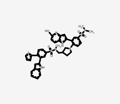 CN(C)S(=O)(=O)c1ccc(N2CCC(CN(C)S(=O)(=O)c3ccc(-c4cccs4)c(-c4cc5ccccc5[nH]4)c3)C2)c(-c2cc3nc(O)ccc3[nH]2)c1